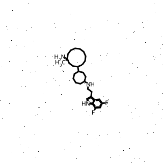 CC1(N)CCCCCCCCC(C2CCCCC(NCCc3c[nH]c4c(F)cc(F)cc34)CC2)CC1